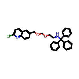 Clc1ccc2cc(COCOCCNC(c3ccccc3)(c3ccccc3)c3ccccc3)ccc2n1